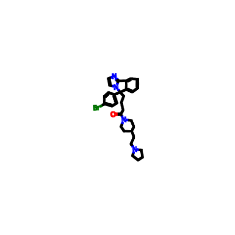 O=C(CCCC1(c2ccc(Br)cc2)c2ccccc2-c2nccn21)N1CCC(CCN2CCCC2)CC1